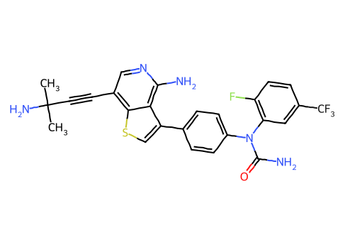 CC(C)(N)C#Cc1cnc(N)c2c(-c3ccc(N(C(N)=O)c4cc(C(F)(F)F)ccc4F)cc3)csc12